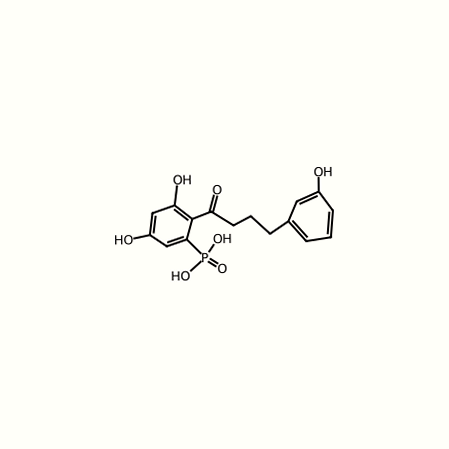 O=C(CCCc1cccc(O)c1)c1c(O)cc(O)cc1P(=O)(O)O